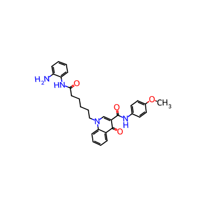 COc1ccc(NC(=O)c2cn(CCCCCC(=O)Nc3ccccc3N)c3ccccc3c2=O)cc1